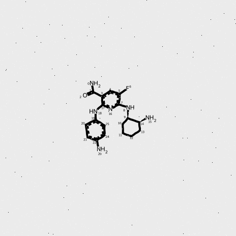 NC(=O)c1cc(F)c(N[C@@H]2CCCC[C@@H]2N)nc1Nc1ccc(N)cc1